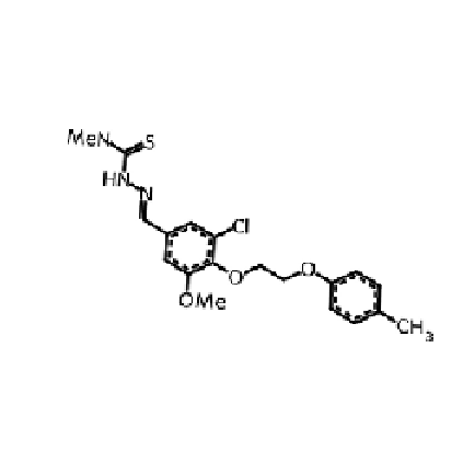 CNC(=S)N/N=C/c1cc(Cl)c(OCCOc2ccc(C)cc2)c(OC)c1